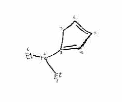 C[CH2][Fe]([CH2]C)[C]1=CC=CC1